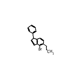 CCCc1ccc2c(c1Br)C=CC2c1ccccc1